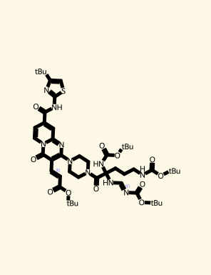 CC(C)(C)OC(=O)/C=C/c1c(N2CCN(C(=O)C(CCCNC(=O)OC(C)(C)C)(N/C=N/C(=O)OC(C)(C)C)NC(=O)OC(C)(C)C)CC2)nc2cc(C(=O)Nc3nc(C(C)(C)C)cs3)ccn2c1=O